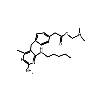 CCCCCNc1nc(N)nc(C)c1Cc1ccc(CC(=O)OCN(C)C)cc1